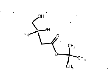 [2H]C([2H])(CO)CC(=O)OC(C)(C)C